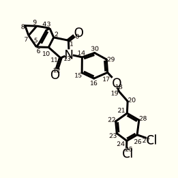 O=C1C2C3C=CC(C4CC34)C2C(=O)N1c1ccc(OCCc2ccc(Cl)c(Cl)c2)cc1